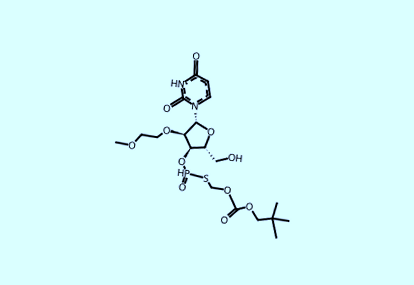 COCCO[C@@H]1[C@H](O[PH](=O)SCOC(=O)OCC(C)(C)C)[C@@H](CO)O[C@H]1n1ccc(=O)[nH]c1=O